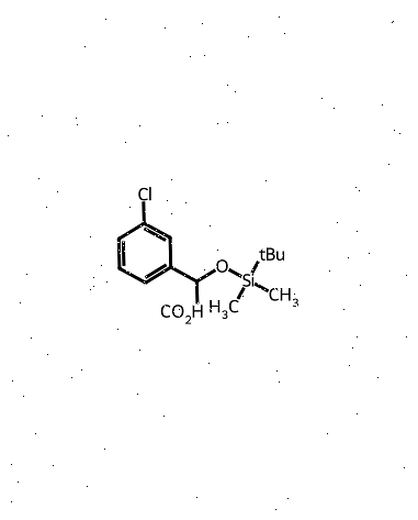 CC(C)(C)[Si](C)(C)OC(C(=O)O)c1cccc(Cl)c1